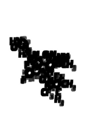 C[C@@H]1c2c(C(F)(F)F)nn(CC(=O)N[C@@H](Cc3cc(F)cc(F)c3)c3nc4nc(NCN5CCNC(=O)C5)sc4cc3-c3cccc4c(NS(C)(=O)=O)nn(C)c34)c2C(F)(F)[C@@H]1C